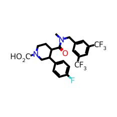 CN(Cc1cc(C(F)(F)F)cc(C(F)(F)F)c1)C(=O)C1CCN(C(=O)O)CC1c1ccc(F)cc1